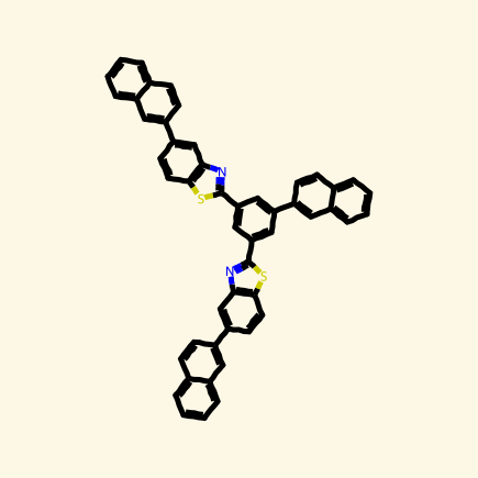 c1ccc2cc(-c3cc(-c4nc5cc(-c6ccc7ccccc7c6)ccc5s4)cc(-c4nc5cc(-c6ccc7ccccc7c6)ccc5s4)c3)ccc2c1